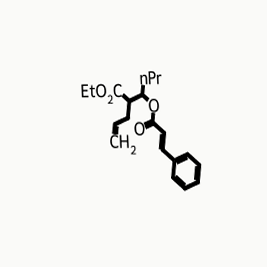 C=CCC(C(=O)OCC)C(CCC)OC(=O)/C=C/c1ccccc1